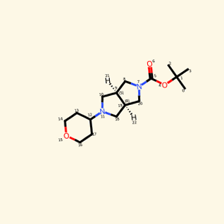 CC(C)(C)OC(=O)N1C[C@@H]2CN(C3CCOCC3)C[C@@H]2C1